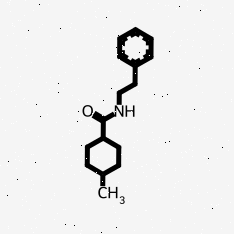 CC1CCC(C(=O)NCCc2ccccc2)CC1